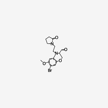 COc1cc2c(cc1Br)OCC(C=O)N2CCN1CCCC1=O